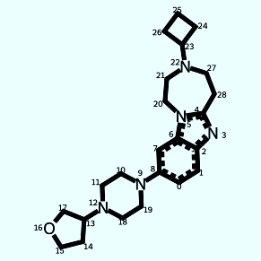 c1cc2nc3n(c2cc1N1CCN(C2CCOC2)CC1)CCN(C1CCC1)CC3